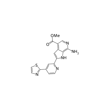 COC(=O)c1cnc(N)c2[nH]c(-c3cc(-c4nccs4)ccn3)cc12